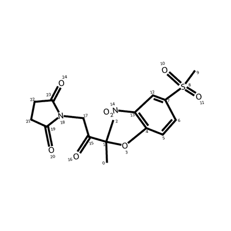 CC(C)(Oc1ccc(S(C)(=O)=O)cc1[N+](=O)[O-])C(=O)CN1C(=O)CCC1=O